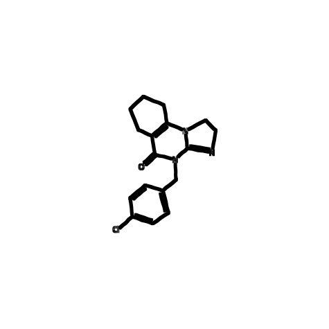 O=C1C2=C(CCCC2)N2CCN=C2N1Cc1ccc(Cl)cc1